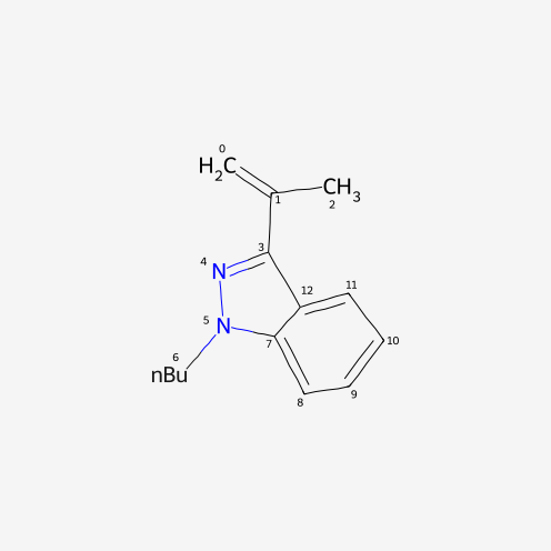 C=C(C)c1nn(CCCC)c2ccccc12